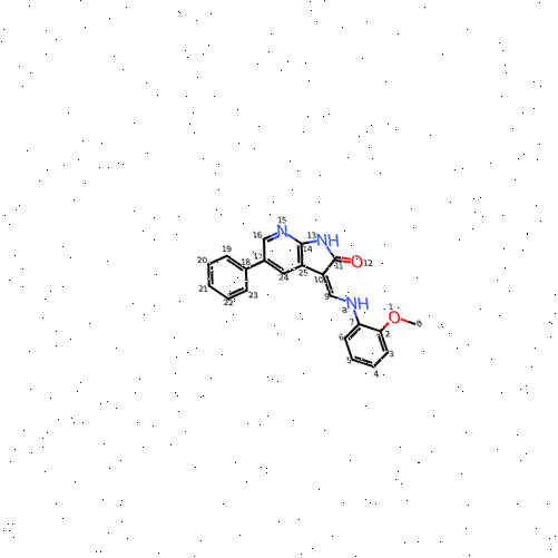 COc1ccccc1NC=C1C(=O)Nc2ncc(-c3ccccc3)cc21